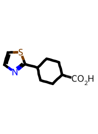 O=C(O)C1CCC(c2nccs2)CC1